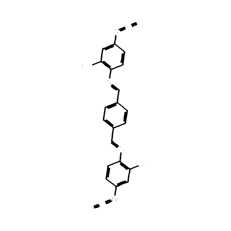 Cc1cc(N=C=O)ccc1/N=C/c1ccc(/C=N/c2ccc(N=C=O)cc2C)cc1